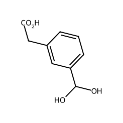 O=C(O)Cc1cccc(C(O)O)c1